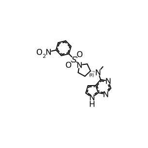 CN(c1ncnc2[nH]ccc12)[C@@H]1CCN(S(=O)(=O)c2cccc([N+](=O)[O-])c2)C1